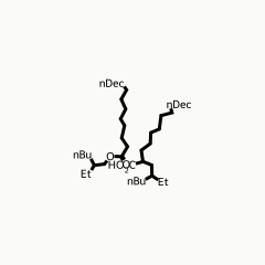 CCCCCCCCCCCCCCCCC(CC(CC)CCCC)C(=O)O.CCCCCCCCCCCCCCCCCC(=O)OCC(CC)CCCC